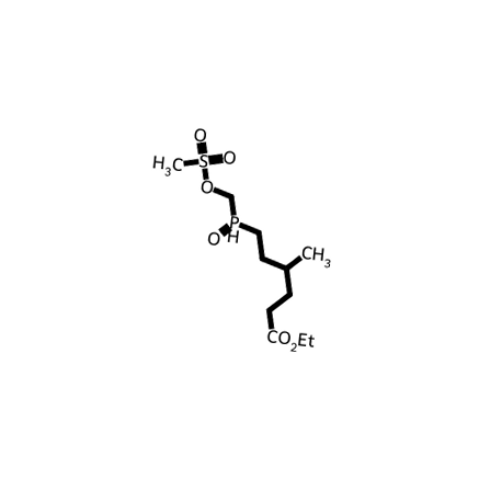 CCOC(=O)CCC(C)CC[PH](=O)COS(C)(=O)=O